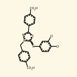 O=C(O)c1ccc(Cn2nc(-c3ccc(C(=O)O)cc3)sc2=Nc2ccc(Cl)c(Cl)c2)cc1